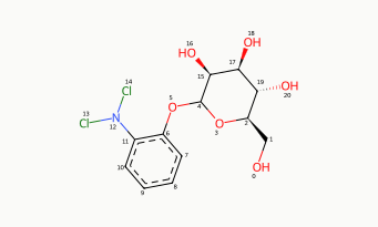 OC[C@H]1OC(Oc2ccccc2N(Cl)Cl)[C@@H](O)[C@@H](O)[C@@H]1O